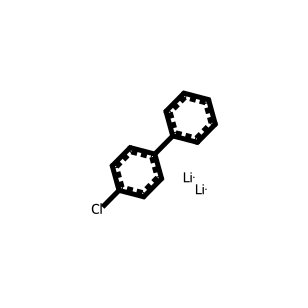 Clc1ccc(-c2ccccc2)cc1.[Li].[Li]